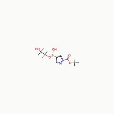 CC(C)(C)OC(=O)n1cc(B(O)OC(C)(C)C(C)(C)O)cn1